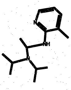 Cc1cccnc1NC(C)N(C(C)C)C(C)C